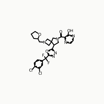 O=C(c1nccnc1O)N1CC(c2nnc(C(F)(F)c3ccc(Cl)c(Cl)c3)o2)C2(CN(CC3CCCO3)C2)C1